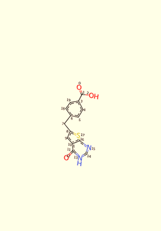 O=C(O)c1ccc(Cc2cc3c(=O)[nH]cnc3s2)cc1